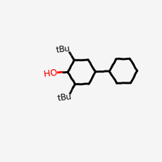 CC(C)(C)C1CC(C2CCCCC2)CC(C(C)(C)C)C1O